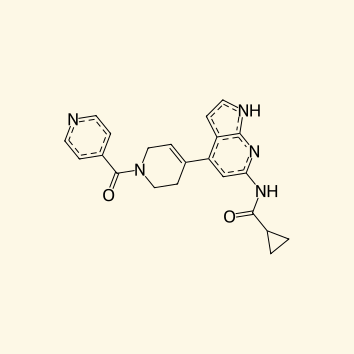 O=C(Nc1cc(C2=CCN(C(=O)c3ccncc3)CC2)c2cc[nH]c2n1)C1CC1